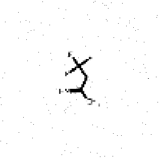 CC(=N)CC(F)(F)F